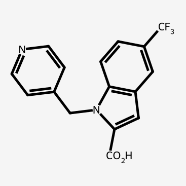 O=C(O)c1cc2cc(C(F)(F)F)ccc2n1Cc1ccncc1